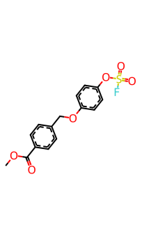 COC(=O)c1ccc(COc2ccc(OS(=O)(=O)F)cc2)cc1